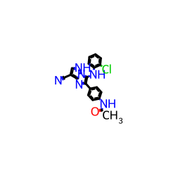 CC(=O)Nc1ccc(-c2nc3c(C#N)c[nH]n3c2Nc2ccccc2Cl)cc1